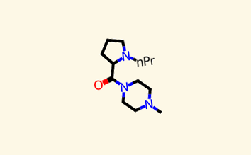 CCCN1CCCC1C(=O)N1CCN(C)CC1